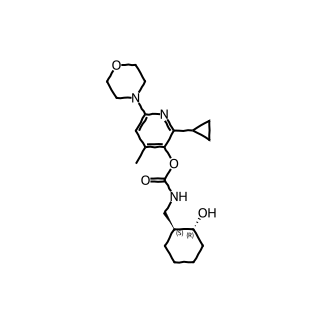 Cc1cc(N2CCOCC2)nc(C2CC2)c1OC(=O)NC[C@@H]1CCCC[C@H]1O